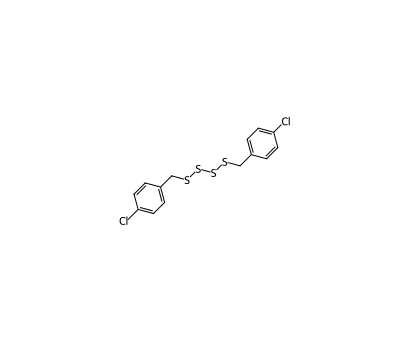 Clc1ccc(CSSSSCc2ccc(Cl)cc2)cc1